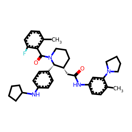 Cc1ccc(NC(=O)C[C@H]2CCCN(C(=O)c3c(C)cccc3F)[C@H]2c2ccc(NC3CCCC3)cc2)cc1N1CCCC1